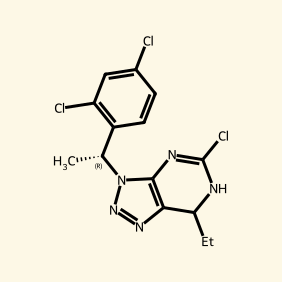 CCC1NC(Cl)=Nc2c1nnn2[C@H](C)c1ccc(Cl)cc1Cl